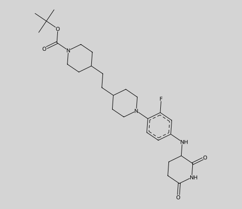 CC(C)(C)OC(=O)N1CCC(CCC2CCN(c3ccc(NC4CCC(=O)NC4=O)cc3F)CC2)CC1